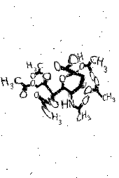 CC(=O)N[C@H]1C(C(OC(C)=O)C(COC(C)=O)OC(C)=O)O[C@](OC(C)=O)(C(=O)O)C[C@@H]1OC(C)=O